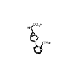 COc1ccccc1N1CC2C(C1)C2NC(=O)O